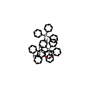 Ic1ccc(P(c2ccccc2)(c2ccccc2)(c2ccccc2)c2cc([PH](c3ccccc3)(c3ccccc3)c3ccccc3)ccc2[PH](c2ccccc2)(c2ccccc2)c2ccccc2)cc1